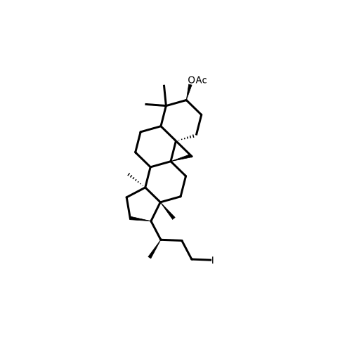 CC(=O)O[C@H]1CC[C@]23C[C@]24CC[C@]2(C)[C@@H]([C@H](C)CCI)CC[C@@]2(C)C4CCC3C1(C)C